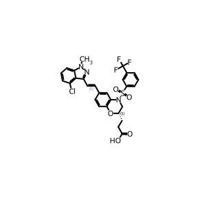 Cn1nc(/C=C/c2ccc3c(c2)N(S(=O)(=O)c2cccc(C(F)(F)F)c2)C[C@H](CCC(=O)O)O3)c2c(Cl)cccc21